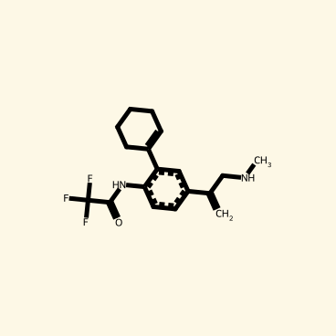 C=C(CNC)c1ccc(NC(=O)C(F)(F)F)c(C2=CCCCC2)c1